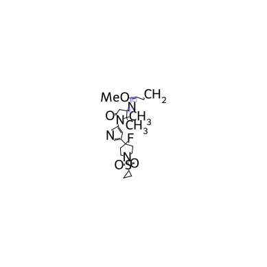 C=C/C=C(\N=C1/CC(=O)N(c2cncc(C3(F)CCN(S(=O)(=O)C4CC4)CC3)c2)C1(C)C)OC